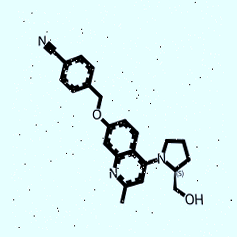 Cc1cc(N2CCC[C@H]2CO)c2ccc(OCc3ccc(C#N)cc3)cc2n1